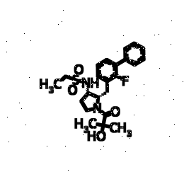 CCS(=O)(=O)N[C@H]1CCN(C(=O)C(C)(C)O)[C@H]1Cc1cccc(-c2ccccc2)c1F